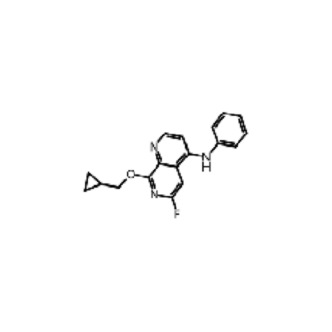 Fc1cc2c(Nc3ccccc3)ccnc2c(OCC2CC2)n1